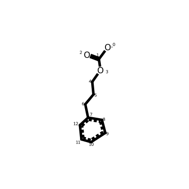 [O]C(=O)OCCCc1ccccc1